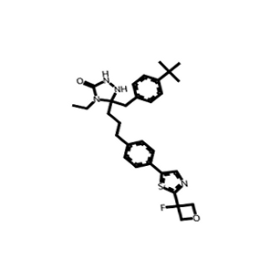 CCN1C(=O)NNC1(CCCc1ccc(-c2cnc(C3(F)COC3)s2)cc1)Cc1ccc(C(C)(C)C)cc1